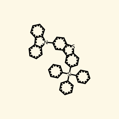 c1ccc([Si](c2ccccc2)(c2ccccc2)c2ccc3sc4ccc(-n5c6ccccc6c6ccccc65)cc4c3c2)cc1